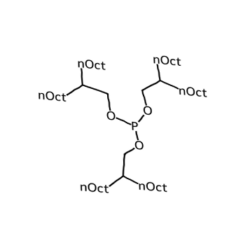 CCCCCCCCC(CCCCCCCC)COP(OCC(CCCCCCCC)CCCCCCCC)OCC(CCCCCCCC)CCCCCCCC